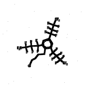 [O]CCCCc1c(C(F)(F)C(F)(F)C(F)(F)C(F)(F)F)cc(C(F)(F)C(F)(F)C(F)(F)C(F)(F)F)cc1C(F)(F)C(F)(F)C(F)(F)C(F)(F)F